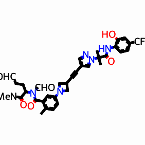 CNC(=O)C(CCC=O)N(C=O)C(=O)c1cc(N2CC(C#Cc3cnn(C(C)(C)C(=O)Nc4ccc(C(F)(F)F)cc4O)c3)C2)ccc1C